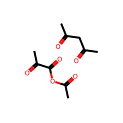 CC(=O)CC(C)=O.CC(=O)OC(=O)C(C)=O